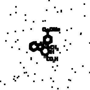 COC(=O)c1ccc(C2(C)N[C@@H](C(=O)O)Cc3c2[nH]c2ccccc32)cc1